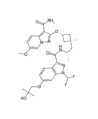 COc1ccc2c(C(N)=O)c(O[C@H]3C[C@](C)(C[C@H](C)NC(=O)c4nn(C(F)F)c5cc(OCC(C)(C)O)ccc45)C3)nn2c1